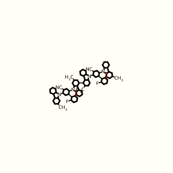 Cc1ccc2c(c1)c1ccccc1n2-c1cc(C#N)c(-n2c3ccccc3c3c(-c4cc(C)cc5c4c4ccccc4n5-c4cc(C#N)c(-n5c6ccccc6c6ccc(C)cc65)cc4-c4c(F)cccc4F)c(C)ccc32)cc1-c1c(F)cccc1F